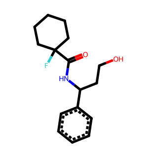 O=C(NC(CCO)c1ccccc1)C1(F)CCCCC1